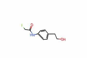 O=C(CF)Nc1ccc(CCO)cc1